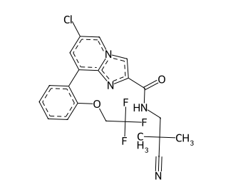 CC(C)(C#N)CNC(=O)c1cn2cc(Cl)cc(-c3ccccc3OCC(F)(F)F)c2n1